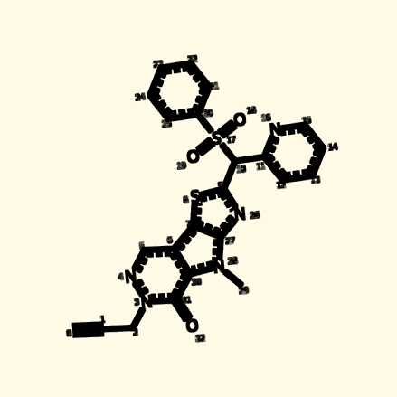 C#CCn1ncc2c3sc(C(c4ccccn4)S(=O)(=O)c4ccccc4)nc3n(C)c2c1=O